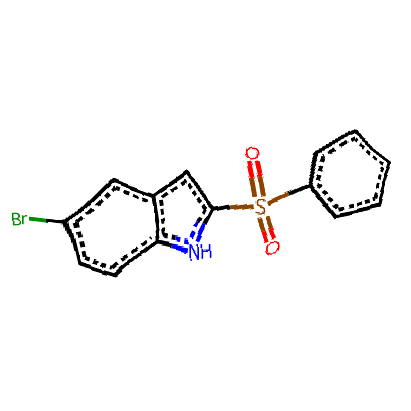 O=S(=O)(c1ccccc1)c1cc2cc(Br)ccc2[nH]1